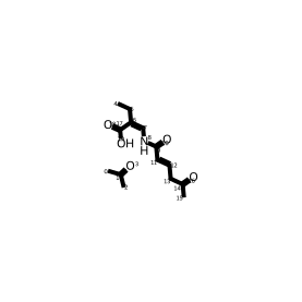 CC(C)=O.CCC(=CNC(=O)C=CCC(C)=O)C(=O)O